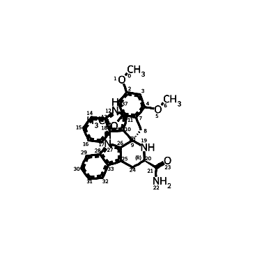 COc1cc(OC)c(C[C@]2(c3c[nH]c4ccccc34)N[C@@H](C(N)=O)Cc3c2[nH]c2ccccc32)c(OC)c1